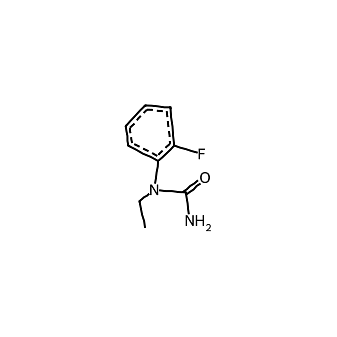 CCN(C(N)=O)c1ccccc1F